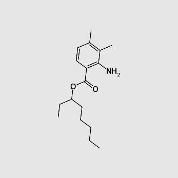 CCCCCC(CC)OC(=O)c1ccc(C)c(C)c1N